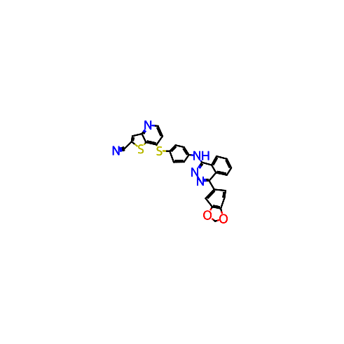 N#Cc1cc2nccc(Sc3ccc(Nc4nnc(-c5ccc6c(c5)OCO6)c5ccccc45)cc3)c2s1